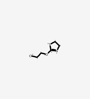 ClCCOC1=NCCS1